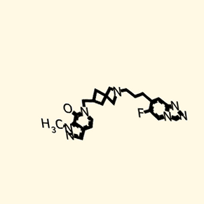 Cn1ncc2ccn(CC3CC4(C3)CN(CCCc3cc5nncn5cc3F)C4)c(=O)c21